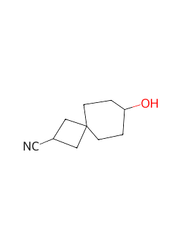 N#CC1CC2(CCC(O)CC2)C1